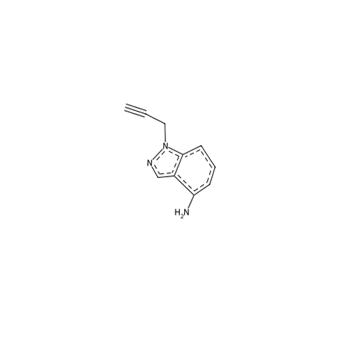 C#CCn1ncc2c(N)cccc21